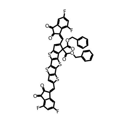 O=C1C(=O)c2c(F)cc(F)cc2/C1=C/c1cc2sc3c4sc5c(c4sc3c2s1)C(C(=O)OCc1ccccc1)(C(=O)OCc1ccccc1)C(/C=C1\C(=O)C(=O)c2cc(F)cc(F)c21)=C5